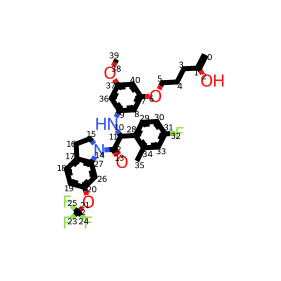 C=C(O)CCCOc1cc(NC(C(=O)N2CCc3ccc(OC(F)(F)F)cc32)c2ccc(F)cc2C)cc(OC)c1